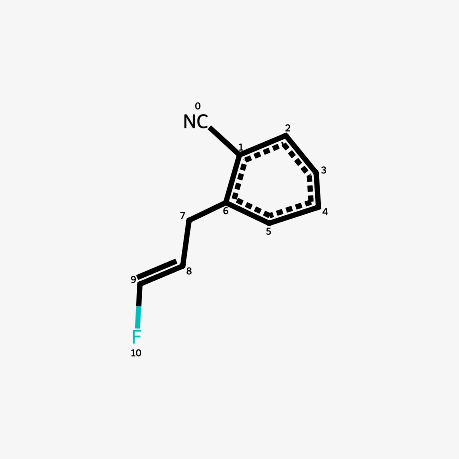 N#Cc1ccccc1CC=CF